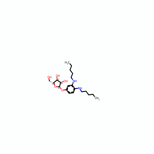 CCCCCNc1ccc(O[C@H]2O[C@H](CO)[C@@H](O)[C@H]2O)cc1NCCCCC